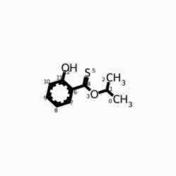 CC(C)OC(=S)c1ccccc1O